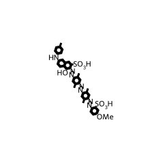 COc1ccc(N=Nc2cc(C)c(N=Nc3cc(C)c(N=Nc4c(S(=O)(=O)O)cc5cc(Nc6ccc(C)cc6)ccc5c4O)cc3C)cc2C)c(S(=O)(=O)O)c1